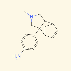 CN1CC2C3C=CC(C3)C2(c2ccc(N)cc2)C1